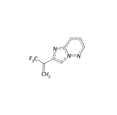 C=C(c1cn2ncccc2n1)C(F)(F)F